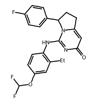 CCc1cc(OC(F)F)ccc1Nc1nc(=O)cc2n1C(c1ccc(F)cc1)CC2